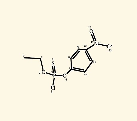 CCOP(=S)(Cl)Oc1ccc([N+](=O)[O-])cc1